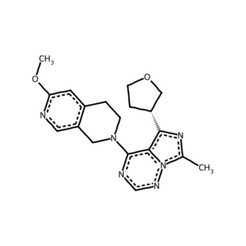 COc1cc2c(cn1)CN(c1ncnn3c(C)nc([C@@H]4CCOC4)c13)CC2